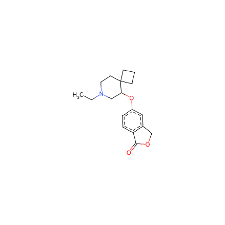 CCN1CCC2(CCC2)C(Oc2ccc3c(c2)COC3=O)C1